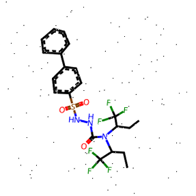 CCC(N(C(=O)NNS(=O)(=O)c1ccc(-c2ccccc2)cc1)C(CC)C(F)(F)F)C(F)(F)F